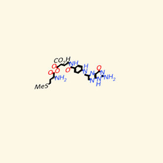 CSCC[C@H](N)C(=O)OC(=O)CC[C@H](NC(=O)c1ccc(NCc2cnc3[nH]c(N)nc(=O)c3n2)cc1)C(=O)O